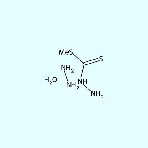 CSC(=S)NN.NN.O